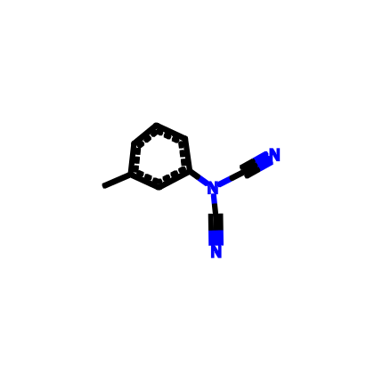 Cc1cccc(N(C#N)C#N)c1